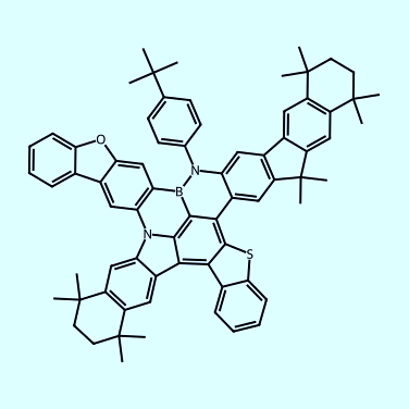 CC(C)(C)c1ccc(N2B3c4cc5oc6ccccc6c5cc4-n4c5cc6c(cc5c5c7c(sc8ccccc87)c(c3c54)-c3cc4c(cc32)-c2cc3c(cc2C4(C)C)C(C)(C)CCC3(C)C)C(C)(C)CCC6(C)C)cc1